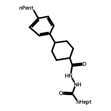 CCCCCCCC(=O)NNC(=O)C1CCC(c2ccc(CCCCC)cc2)CC1